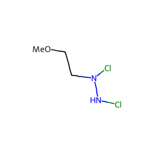 COCCN(Cl)NCl